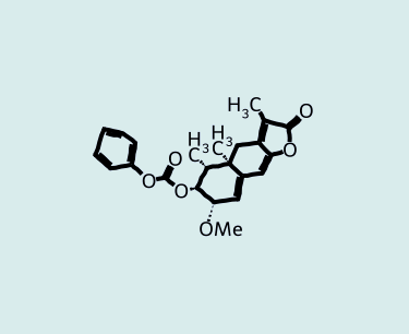 CO[C@H]1C=C2C=C3OC(=O)C(C)=C3C[C@]2(C)[C@@H](C)[C@H]1OC(=O)Oc1ccccc1